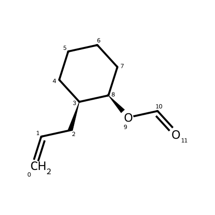 C=CC[C@H]1CCCC[C@H]1OC=O